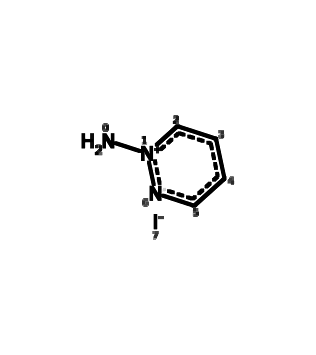 N[n+]1ccccn1.[I-]